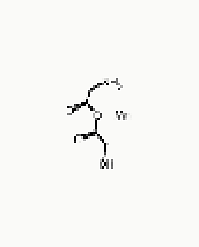 NCC(=O)OC(=O)CO.[Mn]